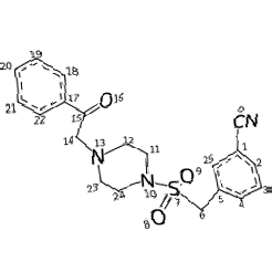 N#Cc1cccc(CS(=O)(=O)N2CCN(CC(=O)c3ccccc3)CC2)c1